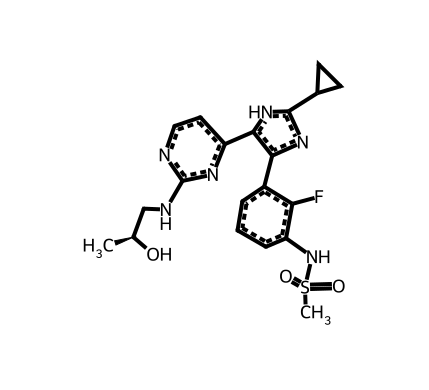 C[C@H](O)CNc1nccc(-c2[nH]c(C3CC3)nc2-c2cccc(NS(C)(=O)=O)c2F)n1